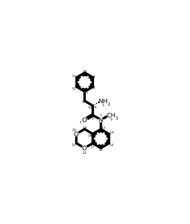 CN(C(=O)[C@@H](N)Cc1ccccc1)c1cccc2c1COCO2